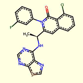 C[C@H](Nc1ncnc2scnc12)c1cc2cccc(Cl)c2c(=O)n1-c1cccc(F)c1